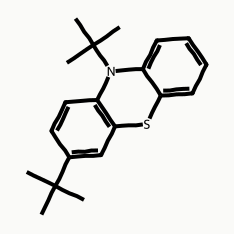 CC(C)(C)c1ccc2c(c1)Sc1ccccc1N2C(C)(C)C